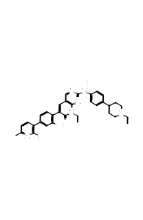 CCN1CCC(c2ccc(Nc3ncc4cc(-c5ccc(-c6ccc(C)nc6F)cc5Cl)c(=O)n(CC)c4n3)cc2)CC1